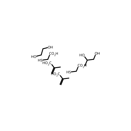 C=C(C)C(=O)O.C=C(C)C(=O)O.CC(O)CO.O=C(O)CS.O=C(O)CS.OCCO